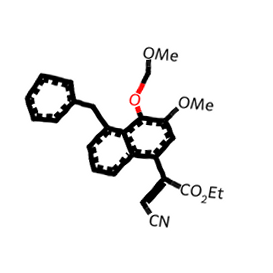 CCOC(=O)C(=CC#N)c1cc(OC)c(OCOC)c2c(Cc3ccccc3)cccc12